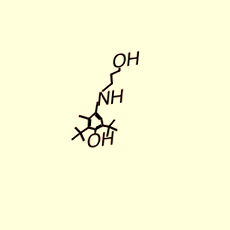 Cc1c(CNCCCCO)cc(C(C)(C)C)c(O)c1C(C)(C)C